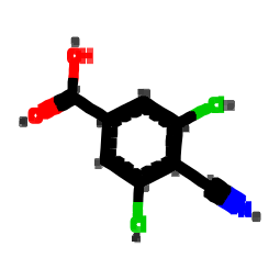 N#Cc1c(Cl)cc(C(=O)O)cc1Cl